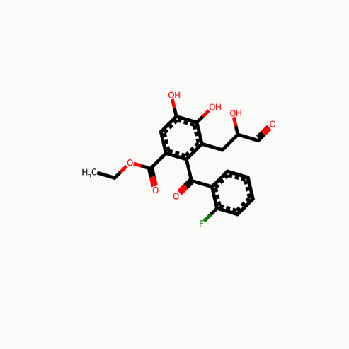 CCOC(=O)c1cc(O)c(O)c(CC(O)C=O)c1C(=O)c1ccccc1F